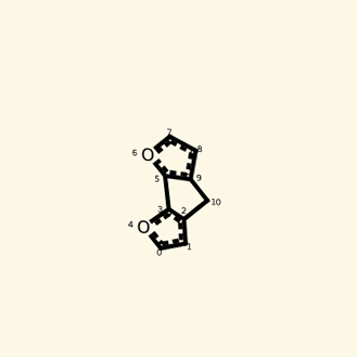 c1cc2c(o1)-c1occc1C2